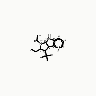 CCC1C(C(C)(C)C)C2c3ncccc3NC2N1CC